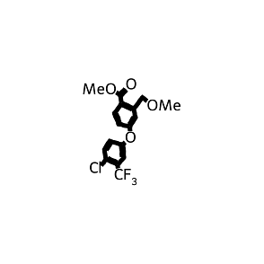 COCc1cc(Oc2ccc(Cl)c(C(F)(F)F)c2)ccc1C(=O)OC